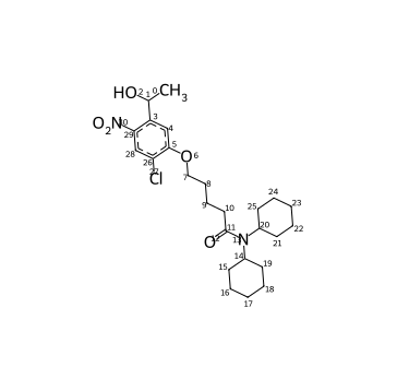 CC(O)c1cc(OCCCCC(=O)N(C2CCCCC2)C2CCCCC2)c(Cl)cc1[N+](=O)[O-]